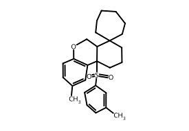 Cc1cccc(S(=O)(=O)C23CCCC4(CCCCCC4)C2COc2ccc(C)cc23)c1